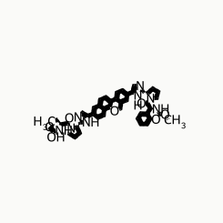 CC[C@H](NC(=O)O)C(=O)N1CCC[C@H]1c1ncc(-c2ccc3c4c(ccc3c2)-c2ccc(-c3cnc([C@@H]5CCCN5C(=O)[C@H](NC(=O)OC)c5ccccc5)[nH]3)cc2CO4)[nH]1